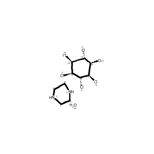 C1CNCCN1.Cl[C@H]1[C@H](Cl)[C@@H](Cl)[C@@H](Cl)[C@H](Cl)[C@H]1Cl.O